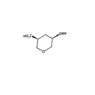 CO[C@H]1COC[C@@H](C(=O)O)C1